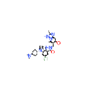 CCN(c1cc(Cl)cc(C(=O)NCc2c(C)n3[nH]c(C)nc3cc2=O)c1C)[C@H]1CC[C@H](N(C)C)CC1